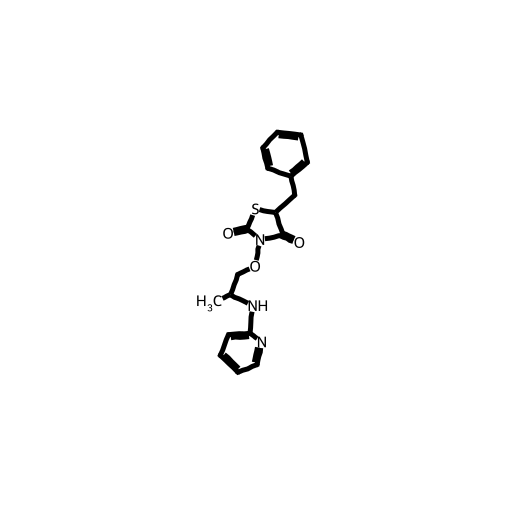 CC(CON1C(=O)SC(Cc2ccccc2)C1=O)Nc1ccccn1